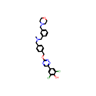 CN(Cc1ccc(COc2ncc(-c3cc(Cl)c(O)c(Cl)c3)nn2)cc1)Cc1cccc(CN2CCOCC2)c1